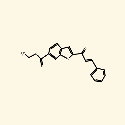 CCOC(=O)c1ccc2cc(C(=O)/C=C/c3ccccc3)sc2c1